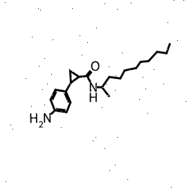 CCCCCCCCCC(C)NC(=O)C1CC1c1ccc(N)cc1